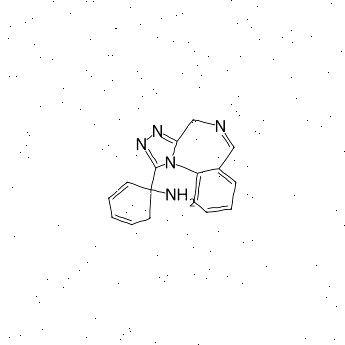 NC1(c2nnc3n2-c2ccccc2C=NC3)C=CC=CC1